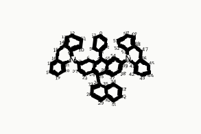 c1ccc(-c2c3cc(N4c5ccccc5Cc5ccccc54)ccc3c(-c3cccc4ccccc34)c3ccc(N4c5ccccc5Cc5ccccc54)cc23)cc1